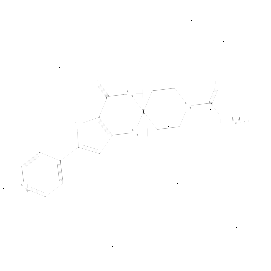 COC(=O)N1CCC2(CC1)NC(=O)c1sc(-c3ccncc3)cc1N2